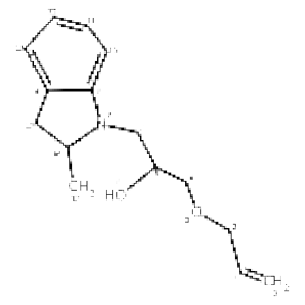 C=CCOCC(O)CN1c2ccccc2CC1C